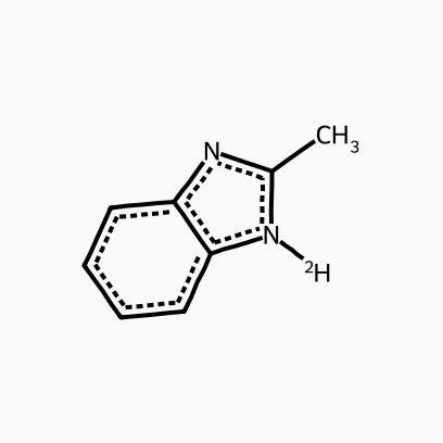 [2H]n1c(C)nc2ccccc21